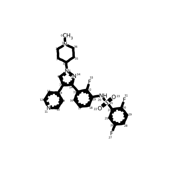 CN1CCC(n2cc(-c3ccncc3)c(-c3cccc(NS(=O)(=O)c4cc(F)ccc4F)c3F)n2)CC1